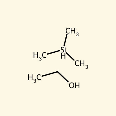 CCO.C[SiH](C)C